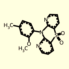 COc1cc(C)ccc1N1c2ncccc2S(=O)(=O)c2cccnc21